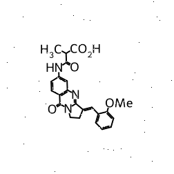 COc1ccccc1C=C1CCn2c1nc1cc(NC(=O)C(C)C(=O)O)ccc1c2=O